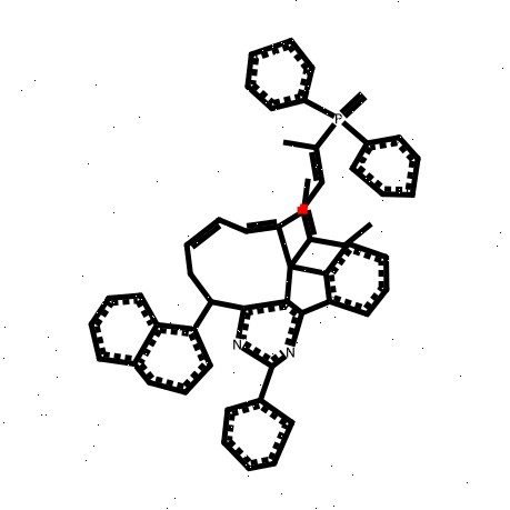 C=P(/C(C)=C/C=C(\CC)C12/C(CC)=C/C=C\CC(c3cccc4ccccc34)c3nc(-c4ccccc4)nc(c31)-c1ccccc12)(c1ccccc1)c1ccccc1